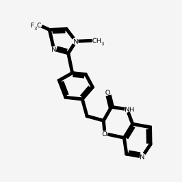 Cn1cc(C(F)(F)F)nc1-c1ccc(CC2Oc3cnccc3NC2=O)cc1